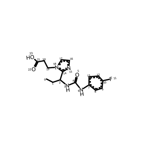 CCC(NC(=O)Nc1ccc(F)cc1)c1nccn1CCC(=O)O